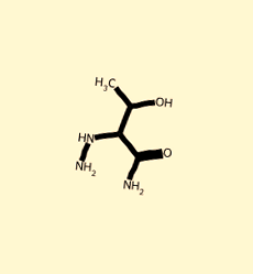 CC(O)C(NN)C(N)=O